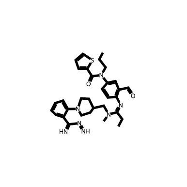 CCCN(C(=O)c1cccs1)c1ccc(/N=C(/CC)N(C)CC2CCN(c3ccccc3C(=N)N=N)CC2)c(C=O)c1